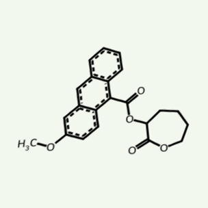 COc1ccc2c(C(=O)OC3CCCCOC3=O)c3ccccc3cc2c1